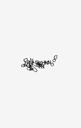 O=[N+]([O-])c1cc(S(=O)(=O)Nc2ncnc3cc(N4CCN(Cc5ccccc5-c5ccc(Cl)cc5)CC4)ccc23)ccc1NC(CCN1CCOCC1)CS(=O)(=O)c1ccccc1